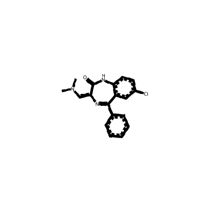 CN(C)/C=C1/N=C(c2ccccc2)c2cc(Cl)ccc2NC1=O